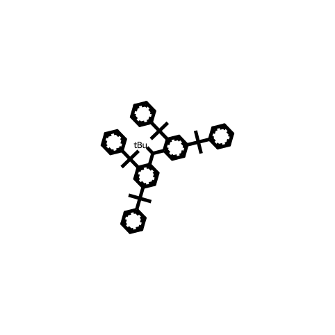 [CH2]C([CH2])([CH2])[C](c1ccc(C(C)(C)c2ccccc2)cc1C(C)(C)c1ccccc1)c1ccc(C(C)(C)c2ccccc2)cc1C(C)(C)c1ccccc1